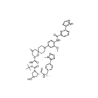 COc1cc(N2CCC3(CC2)CN(C)C[C@H](C(=O)N[C@H](C(=O)N2C[C@H](O)C[C@H]2C(=O)N[C@@H](C)c2ccc(-c4ccnn4C)cc2)C(C)(C)C)O3)ccc1NC(=O)c1cccc(-c2ccn[nH]2)n1